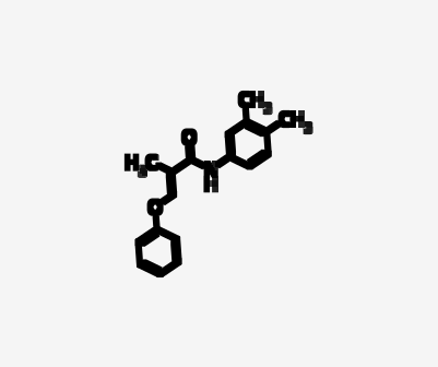 C/C(=C\Oc1ccccc1)C(=O)Nc1ccc(C)c(C)c1